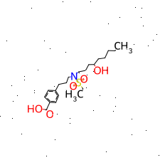 CCCCCC(O)CCCN(CCCc1ccc(C(=O)O)cc1)S(=O)(=O)CC